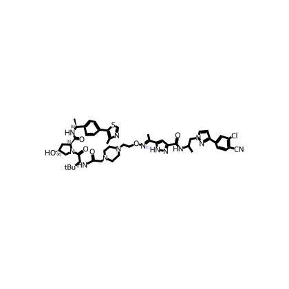 C/C(=N\OCCN1CCN(CC(=O)NC(C(=O)N2C[C@H](O)C[C@H]2C(=O)N[C@@H](C)c2ccc(-c3scnc3C)cc2)C(C)(C)C)CC1)c1cc(C(=O)NC(C)Cn2ccc(-c3ccc(C#N)c(Cl)c3)n2)n[nH]1